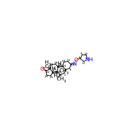 C[C@@H]1CC2C/C(=N/OC3CCNC3)CC[C@]2(C)[C@H]2CC[C@]3(C)C(=O)CC[C@H]3[C@H]12